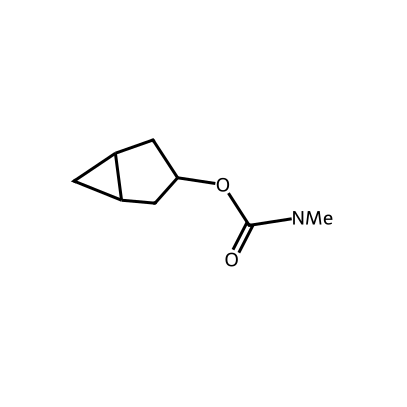 CNC(=O)OC1CC2CC2C1